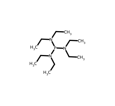 CCN(CC)P(N(CC)CC)N(CC)CC